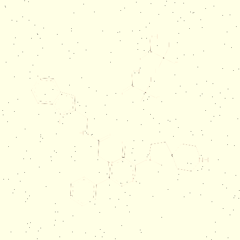 O=C(Cn1c(-c2ccccc2)cnc(N2CCC3(CCNCC3)C2)c1=O)NCc1cc2cnccc2[nH]1.O=C(O)C(F)(F)F.O=C(O)C(F)(F)F